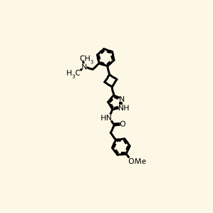 COc1ccc(CC(=O)Nc2cc(C3CC(c4ccccc4CN(C)C)C3)n[nH]2)cc1